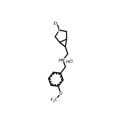 CCN1CC2C(CNCc3cccc(OC(F)(F)F)c3)C2C1.Cl